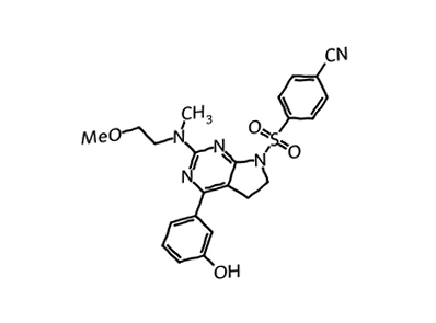 COCCN(C)c1nc(-c2cccc(O)c2)c2c(n1)N(S(=O)(=O)c1ccc(C#N)cc1)CC2